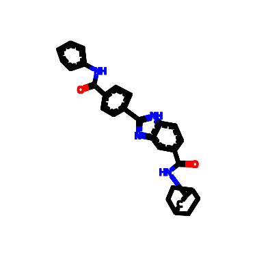 O=C(Nc1ccccc1)c1ccc(-c2nc3cc(C(=O)NC4CC5CCC4CC5)ccc3[nH]2)cc1